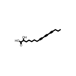 CCCC#CC#CC#CCCCCCC(O)C(=O)O